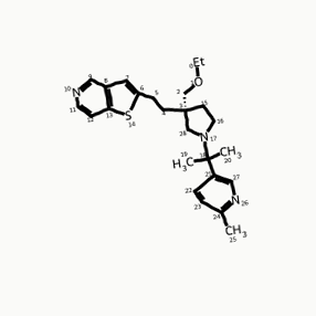 CCOC[C@]1(CCc2cc3cnccc3s2)CCN(C(C)(C)c2ccc(C)nc2)C1